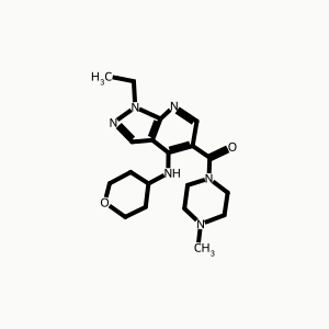 CCn1ncc2c(NC3CCOCC3)c(C(=O)N3CCN(C)CC3)cnc21